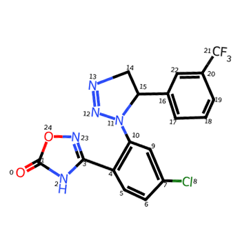 O=c1[nH]c(-c2ccc(Cl)cc2N2N=NCC2c2cccc(C(F)(F)F)c2)no1